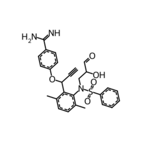 C#CC(Oc1ccc(C(=N)N)cc1)c1c(C)ccc(C)c1N(CC(O)C=O)S(=O)(=O)c1ccccc1